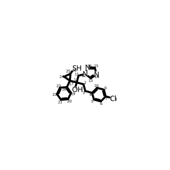 OC(CCc1ccc(Cl)cc1)(Cn1cncn1)C1(c2ccccc2)CC1S